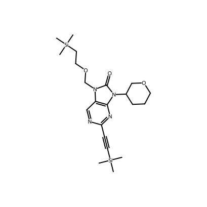 C[Si](C)(C)C#Cc1ncc2c(n1)n(C1CCCOC1)c(=O)n2COCC[Si](C)(C)C